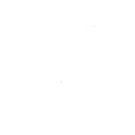 CCCCN(CC)CCN(Cc1ccccc1)S(=O)(=O)c1ccc(OCCC)c(-c2cc3c(CCC)nn(C)c3c(=O)[nH]2)c1